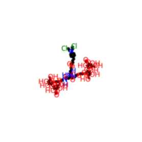 O=CO[C@@H]1[C@H](O)[C@@H](O[C@@H]2[C@@H](OCCOCCNC(=O)CC(NC(=O)CCCOC(=O)CCCc3ccc(N(CCCl)CCCl)cc3)C(=O)NCCOCCO[C@H]3O[C@@H](CO)[C@@H](O)[C@H](O)[C@@H]3O[C@H]3O[C@H](CO)[C@@H](O)[C@H](OC=O)[C@@H]3O)O[C@@H](CO)[C@@H](O)[C@@H]2O)O[C@H](CO)[C@H]1O